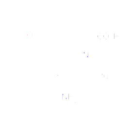 CC(C)(C)N(C(=O)O)C1=C(N)C=COC1